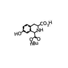 CCCCOC(=O)C1NC(C(=O)O)Cc2ccc(O)cc21